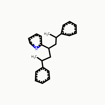 CC(CC(CC(C)c1ccccc1)c1ccccn1)c1ccccc1